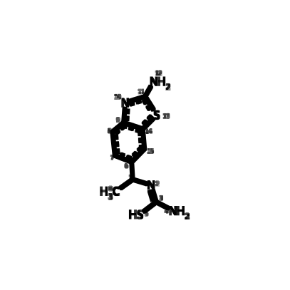 CC(N=C(N)S)c1ccc2nc(N)sc2c1